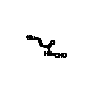 CC(C)(C)C=CC(=O)NC=O